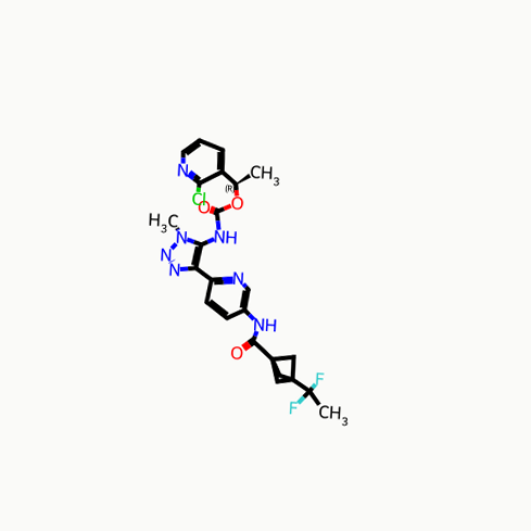 C[C@@H](OC(=O)Nc1c(-c2ccc(NC(=O)C34CC(C(C)(F)F)(C3)C4)cn2)nnn1C)c1cccnc1Cl